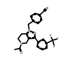 CC(=O)N1CCc2c(c(-c3cccc(C(F)(F)F)c3)nn2Cc2ccc(C#N)cc2)C1